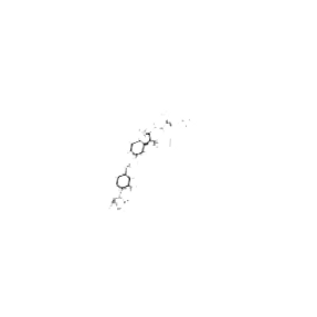 COC(=O)CCc1[nH]c2ccc(OCc3ccc(C4CCOC4)c(C(F)(F)F)c3)cc2c1C